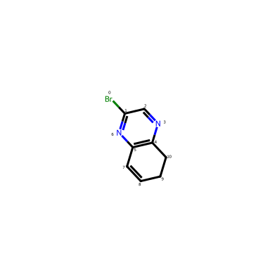 Brc1cnc2c(n1)C=CCC2